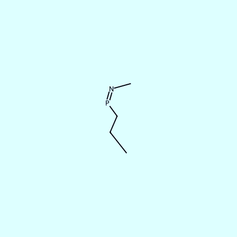 CCC/P=N\C